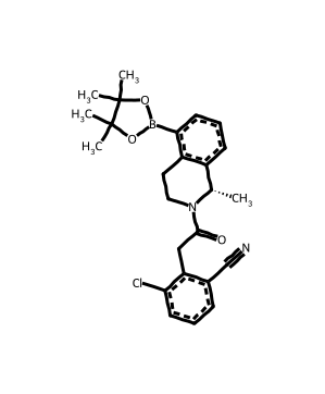 C[C@H]1c2cccc(B3OC(C)(C)C(C)(C)O3)c2CCN1C(=O)Cc1c(Cl)cccc1C#N